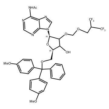 COc1ccc(C(OC[C@H]2O[C@@H](n3cnc4c(NC(C)=O)ncnc43)C(OCOCC(C(F)(F)F)C(F)(F)F)C2O)(c2ccccc2)c2ccc(OC)cc2)cc1